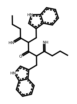 CCCC(=N)C(Cc1c[nH]c2ccccc12)C(=O)C(Cc1c[nH]c2ccccc12)C(=N)CCC